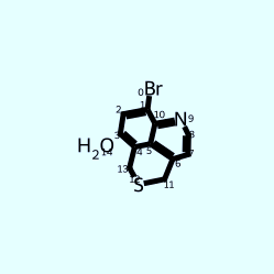 Brc1ccc2c3c(ccnc13)CSC2.O